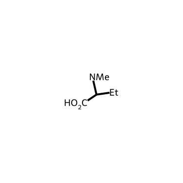 CCC(NC)C(=O)O